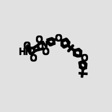 CC(C)(C)c1ccc(Oc2ccc(C(C)(C)c3ccc(Oc4ccc(N5C(=O)C6C7C(=O)NC(=O)C7C6C5=O)cc4)cc3)cc2)cc1